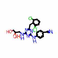 N#Cc1ccc(Nc2nc(Cc3c(Cl)cccc3Cl)nc(NCC(O)CO)n2)cc1